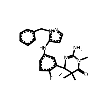 CN1C(=O)C(C)(C)[C@@](C)(c2cc(Nc3ccnn3Cc3ccccc3)ccc2F)N=C1N